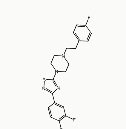 Fc1ccc(CCN2CCN(c3nc(-c4ccc(F)c(F)c4)ns3)CC2)cc1